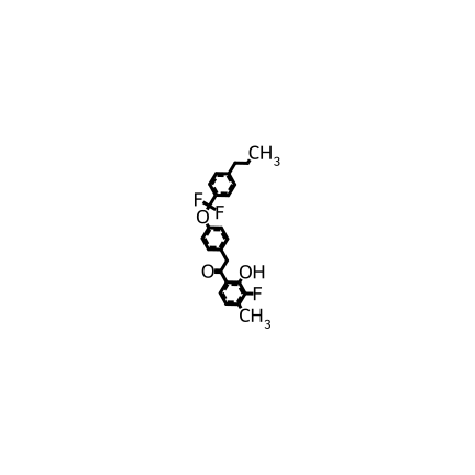 CCCc1ccc(C(F)(F)Oc2ccc(CC(=O)c3ccc(C)c(F)c3O)cc2)cc1